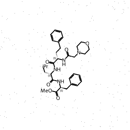 COC(=O)[C@H](Cc1ccccc1)NC(=O)[C@H](CC(C)C)NC(=O)[C@H](CCc1ccccc1)NC(=O)CN1CCOCC1